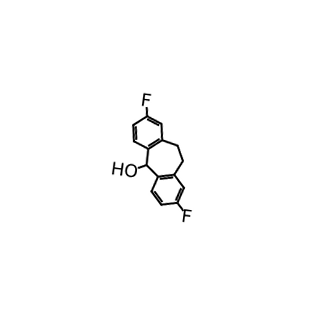 OC1c2ccc(F)cc2CCc2cc(F)ccc21